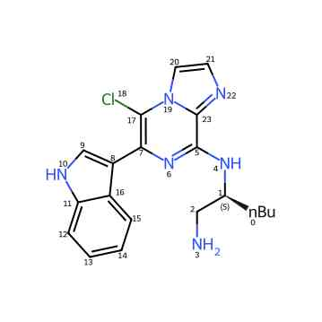 CCCC[C@@H](CN)Nc1nc(-c2c[nH]c3ccccc23)c(Cl)n2ccnc12